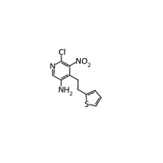 Nc1cnc(Cl)c([N+](=O)[O-])c1CCc1cccs1